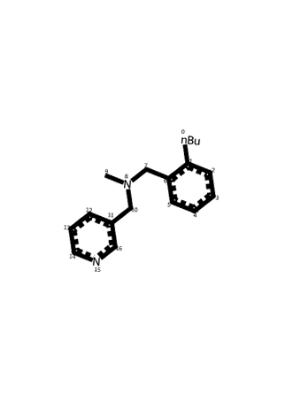 CCCCc1cc[c]cc1CN(C)Cc1cccnc1